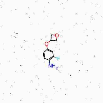 Nc1ccc(OC2COC2)cc1F